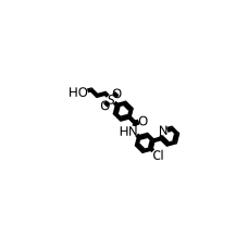 O=C(Nc1ccc(Cl)c(-c2ccccn2)c1)c1ccc(S(=O)(=O)CCCO)cc1